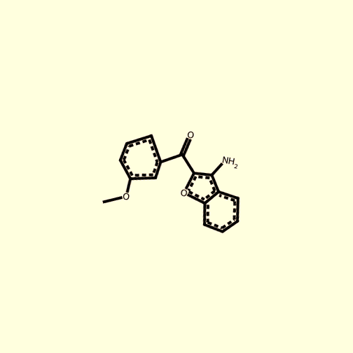 COc1cccc(C(=O)c2oc3ccccc3c2N)c1